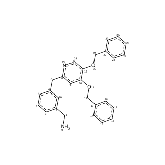 NCc1cccc(Cc2cc(OCc3ccccc3)c(OCc3ccccc3)nn2)c1